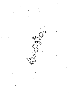 CO[C@H]1CN(c2ccc3c(c2)OCC(NC(=O)c2sc4nc(C)ccc4c2N)C3)C[C@@H]1N